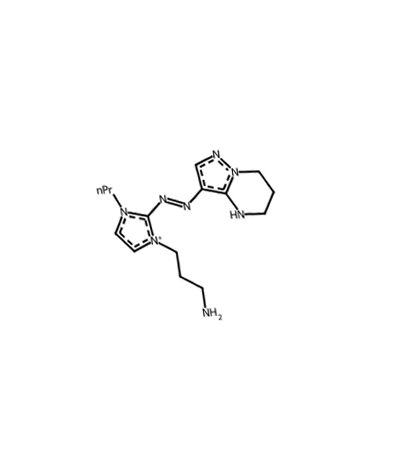 CCCn1cc[n+](CCCN)c1/N=N/c1cnn2c1NCCC2